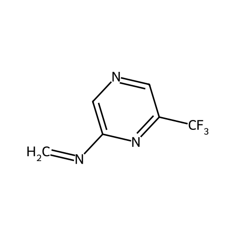 C=Nc1cncc(C(F)(F)F)n1